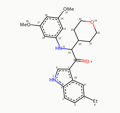 CCc1ccc2[nH]cc(C(=O)C(Nc3cc(OC)cc(OC)c3)C3CCOCC3)c2c1